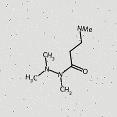 CNCCC(=O)N(C)N(C)C